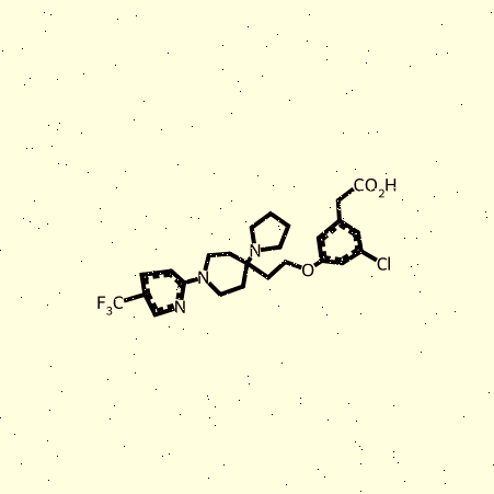 O=C(O)Cc1cc(Cl)cc(OCCC2(N3CCCC3)CCN(c3ccc(C(F)(F)F)cn3)CC2)c1